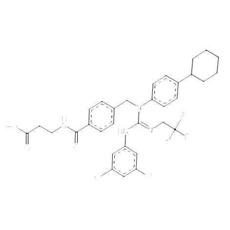 O=C(O)CCNC(=O)c1ccc(CN(/C(=N\CC(F)(F)F)Nc2cc(Cl)cc(Cl)c2)c2ccc(C3CCCCC3)cc2)cc1